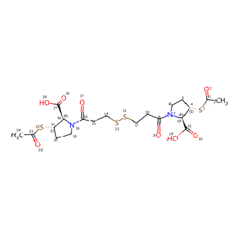 CC(=O)S[C@H]1CCN(C(=O)CCSSCCC(=O)N2CC[C@H](SC(C)=O)[C@H]2C(=O)O)[C@@H]1C(=O)O